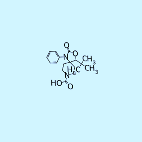 CC(C)(C)C1OC(=O)N(c2ccccc2)C12CCN(C(=O)O)CC2